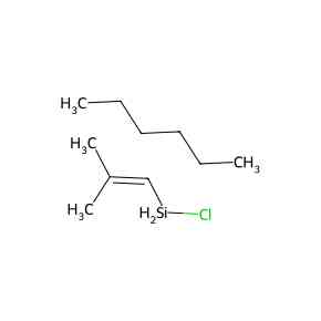 CC(C)=C[SiH2]Cl.CCCCCC